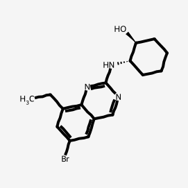 CCc1cc(Br)cc2cnc(N[C@H]3CCCC[C@@H]3O)nc12